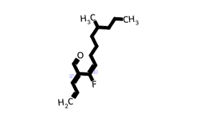 C=C/C=C(C=O)\C(F)=C/CCCC(C)CCC